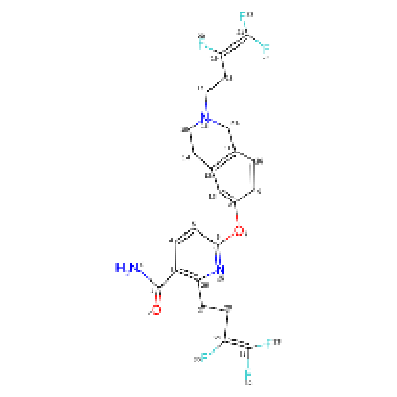 NC(=O)c1ccc(Oc2ccc3c(c2)CCN(CCC(F)=C(F)F)C3)nc1CCC(F)=C(F)F